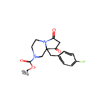 CC(C)(C)OC(=O)N1CCN2C(=O)CC(=O)C2(Cc2ccc(F)cc2)C1